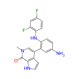 Cn1cc(-c2cc(N)ccc2Nc2ccc(F)cc2F)c2cc[nH]c2c1=O